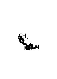 COc1ccc(CCc2nccn3c(CC#N)ccc23)cc1